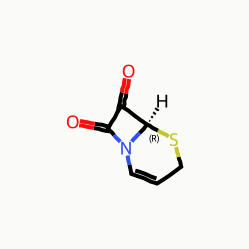 O=C1C(=O)N2C=CCS[C@H]12